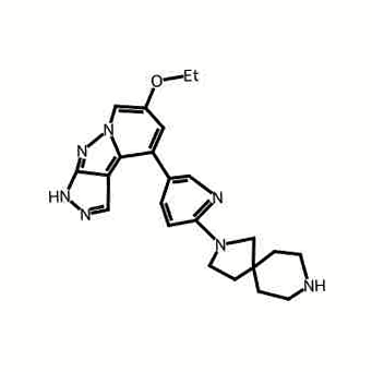 CCOc1cc(-c2ccc(N3CCC4(CCNCC4)C3)nc2)c2c3cn[nH]c3nn2c1